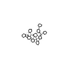 c1ccc(-c2cccc(N(c3ccccc3)c3ccc4c(c3)C3(c5ccccc5-4)c4ccccc4-c4c(N(c5ccccc5)c5cccc6c5oc5ccccc56)cccc43)c2)cc1